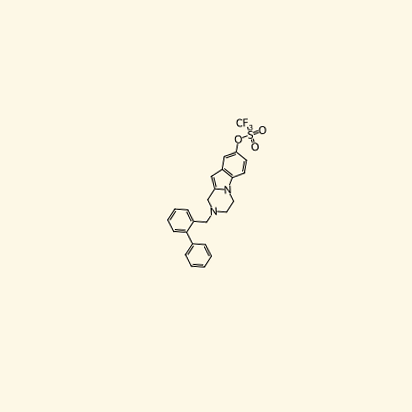 O=S(=O)(Oc1ccc2c(c1)cc1n2CCN(Cc2ccccc2-c2ccccc2)C1)C(F)(F)F